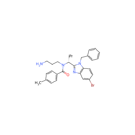 Cc1ccc(C(=O)N(CCCN)[C@@H](c2nc3cc(Br)ccc3n2Cc2ccccc2)C(C)C)cc1